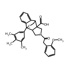 COc1ccccc1CC(=O)N1CC2C3(c4cc(C)c(C)c(C)c4)CCC(c4ccccc43)C2(C(=O)O)C1